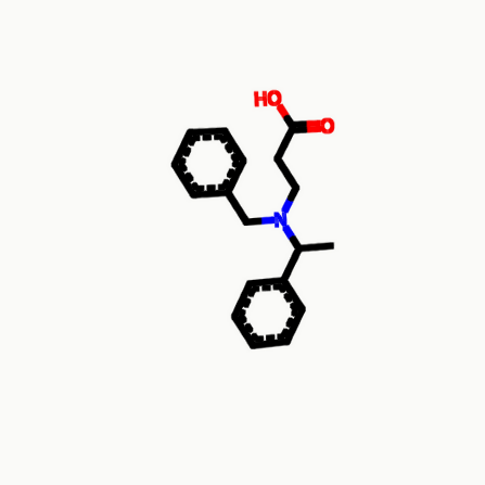 CC(c1ccccc1)N(CCC(=O)O)Cc1ccccc1